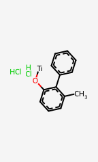 Cc1cccc([O][Ti])c1-c1ccccc1.Cl.Cl